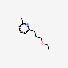 CCOCCCc1cccc(C)n1